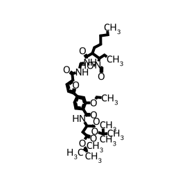 CCCCCC(C(=O)NCNC(=O)c1ccc(-c2ccc(C(=O)NC(CC(=O)OC(C)(C)C)C(=O)OC(C)(C)C)c(OCC)c2)o1)C(CC)N(O)C=O